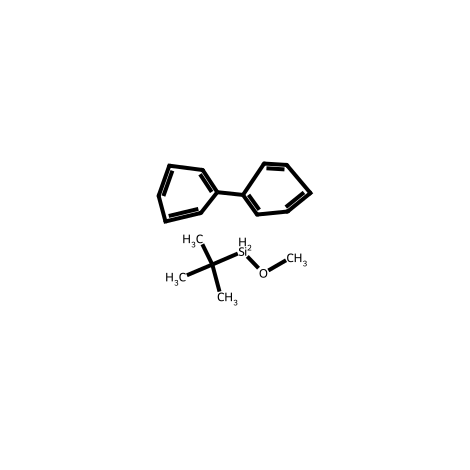 CO[SiH2]C(C)(C)C.c1ccc(-c2ccccc2)cc1